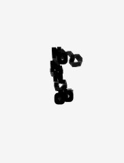 O=[N+]([O-])c1ccc(N2CCN(Cc3ncc(Cc4ccccc4)o3)CC2)cc1